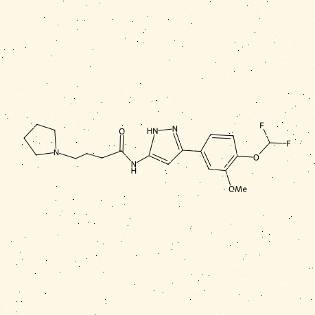 COc1cc(-c2cc(NC(=O)CCCN3CCCC3)[nH]n2)ccc1OC(F)F